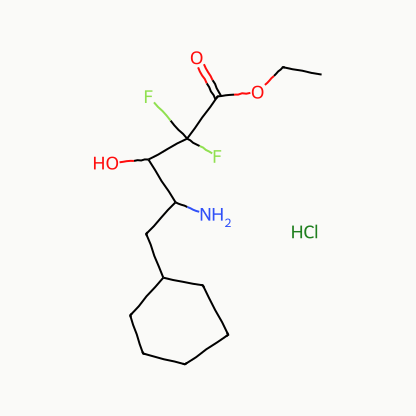 CCOC(=O)C(F)(F)C(O)C(N)CC1CCCCC1.Cl